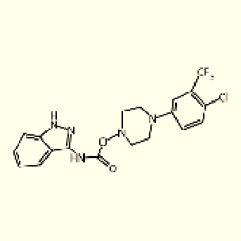 O=C(Nc1n[nH]c2ccccc12)ON1CCN(c2ccc(Cl)c(C(F)(F)F)c2)CC1